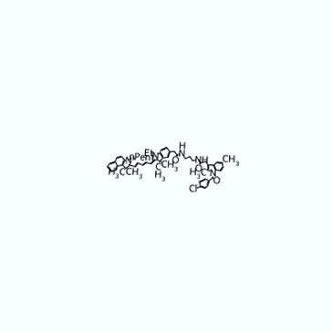 CCCCC[N+]1=C(/C=C/C=C/C=C2\N(CC)c3ccc(CC(=O)NCCCNC(=O)Cc4c(C)n(C(=O)c5ccc(Cl)cc5)c5ccc(C)cc45)cc3C2(C)C)C(C)(C)c2c1ccc1ccccc21